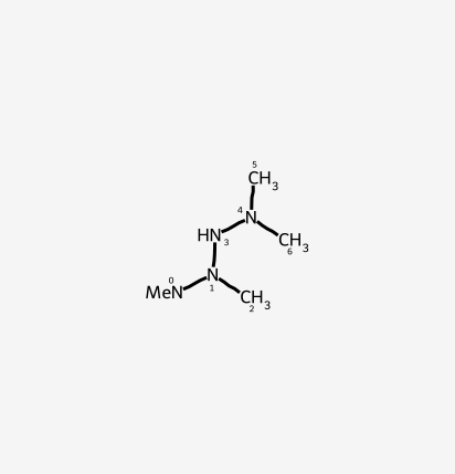 CNN(C)NN(C)C